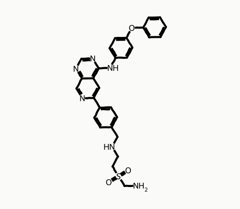 NCS(=O)(=O)CCNCc1ccc(-c2cc3c(Nc4ccc(Oc5ccccc5)cc4)ncnc3cn2)cc1